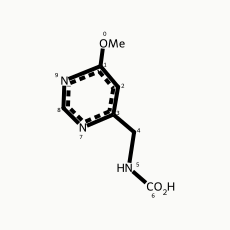 COc1cc(CNC(=O)O)ncn1